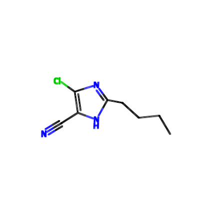 CCCCc1nc(Cl)c(C#N)[nH]1